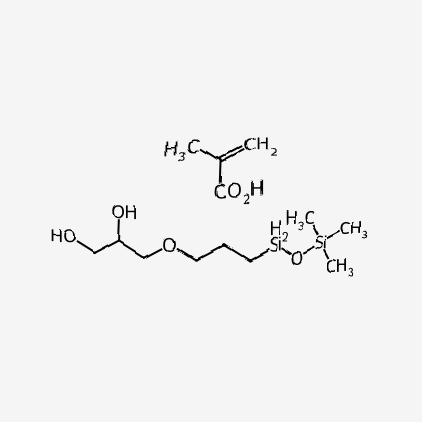 C=C(C)C(=O)O.C[Si](C)(C)O[SiH2]CCCOCC(O)CO